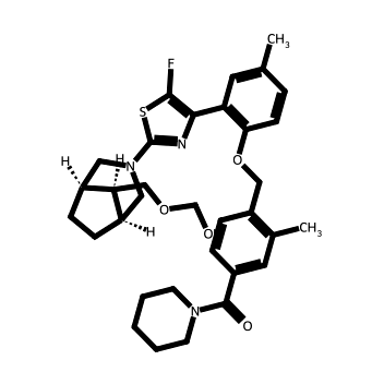 Cc1ccc(OCc2ccc(C(=O)N3CCCCC3)cc2C)c(-c2nc(N3C[C@H]4CC[C@@H](C3)[C@H]4COCO)sc2F)c1